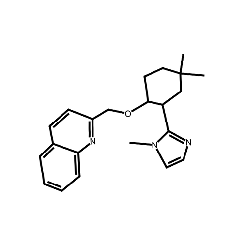 Cn1ccnc1C1CC(C)(C)CCC1OCc1ccc2ccccc2n1